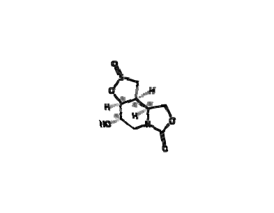 O=C1OC[C@@H]2[C@@H]3CS(=O)O[C@@H]3[C@@H](O)CN12